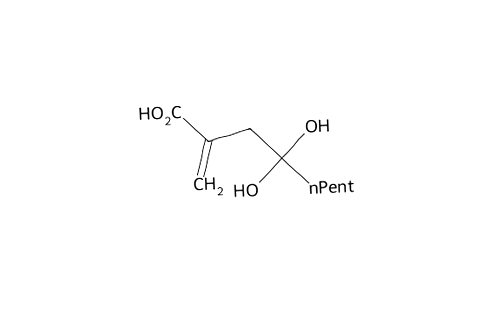 C=C(CC(O)(O)CCCCC)C(=O)O